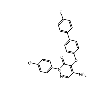 Nc1cnn(-c2ccc(Cl)cc2)c(=O)c1Oc1ccc(-c2ccc(F)cc2)cc1